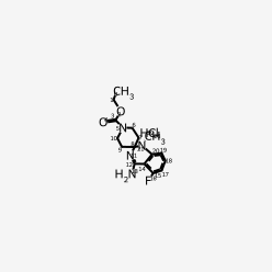 CCOC(=O)N1CCC2(CC1)N=C(N)c1c(F)cccc1N2C.Cl